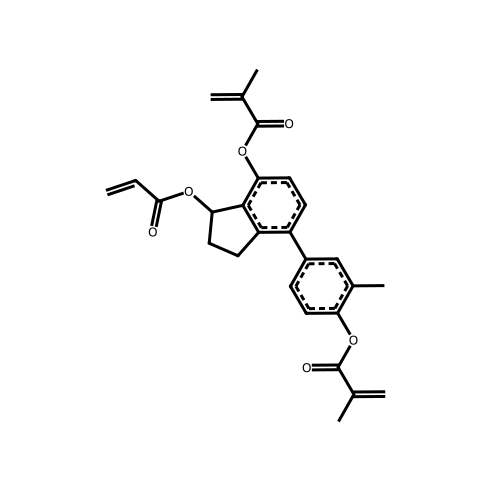 C=CC(=O)OC1CCc2c(-c3ccc(OC(=O)C(=C)C)c(C)c3)ccc(OC(=O)C(=C)C)c21